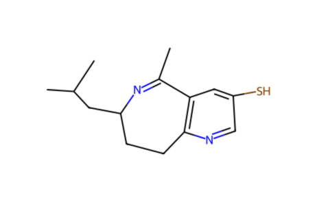 CC1=NC(CC(C)C)CCc2ncc(S)cc21